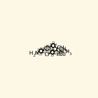 C/C=C(\C)N(CCCC)/C(=C(\C)c1cccc(N2CCN(c3ccc(N)cc3)CC2)c1)c1ccc(Cl)cc1